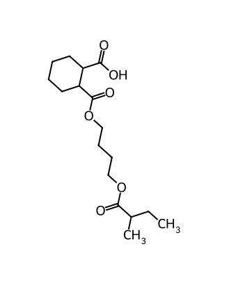 CCC(C)C(=O)OCCCCOC(=O)C1CCCCC1C(=O)O